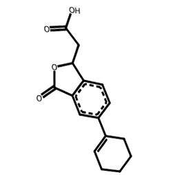 O=C(O)CC1OC(=O)c2cc(C3=CCCCC3)ccc21